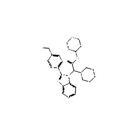 O=C(NC1CCCCC1)C(C1CCCCC1)n1c(-c2ccc(CO)cc2)nc2ccccc21